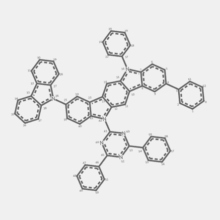 c1ccc(-c2ccc3c(c2)c2cc4c(cc2n3-c2ccccc2)c2cc(-n3c5ccccc5c5ccccc53)ccc2n4-c2nc(-c3ccccc3)nc(-c3ccccc3)n2)cc1